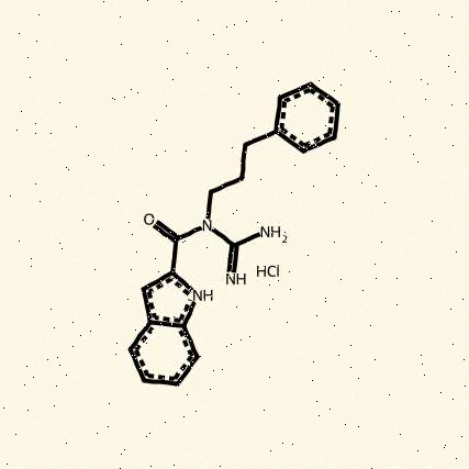 Cl.N=C(N)N(CCCc1ccccc1)C(=O)c1cc2ccccc2[nH]1